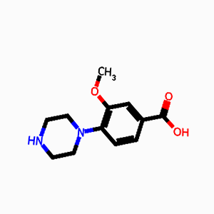 COc1cc(C(=O)O)ccc1N1CCNCC1